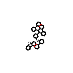 c1ccc(-c2ccccc2-c2c(-c3cccc(N(c4ccc5c(c4)oc4ccccc45)c4ccccc4-c4ccccc4)c3)c3ccccc3c3ccccc23)cc1